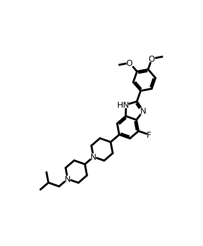 COc1ccc(-c2nc3c(F)cc(C4CCN(C5CCN(CC(C)C)CC5)CC4)cc3[nH]2)cc1OC